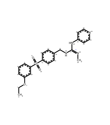 CCOc1cccc(S(=O)(=O)c2ccc(CN/C(=N\C)Nc3ccncc3)cc2)c1